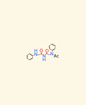 CC(=O)N(CC(=O)NC(=O)CNc1ccccc1)c1ccccc1